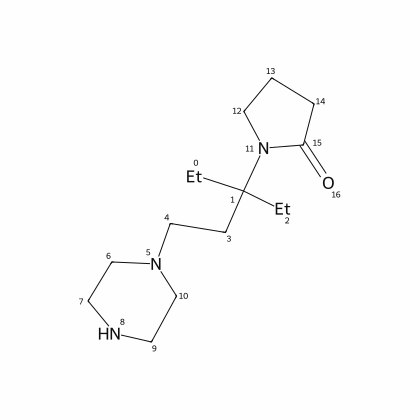 CCC(CC)(CCN1CCNCC1)N1CCCC1=O